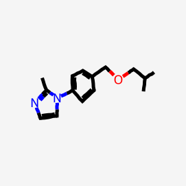 Cc1nccn1-c1ccc(COCC(C)C)cc1